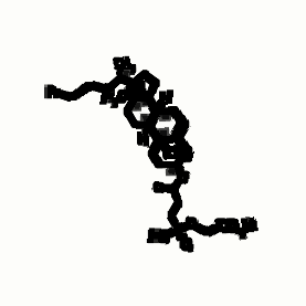 CCOC(=O)COP(=O)(O)CCC(=O)O[C@H]1CC[C@@]2(C)C(=CC[C@H]3[C@@H]4CC[C@H]([C@H](C)CCCC(C)C)[C@@]4(C)CC[C@@H]32)C1